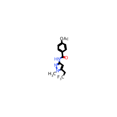 CC(=O)Oc1ccc(C(=O)Nc2cc(CC(F)(F)F)n(C)n2)cc1